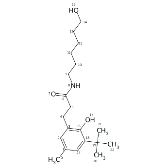 Cc1cc(CCC(=O)NCCCCCCO)c(O)c(C(C)(C)C)c1